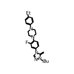 C=C1N(c2ccc(N3CCN(c4ccc(CC)cc4)CC3)c(F)c2)C=NN1C(C)CC